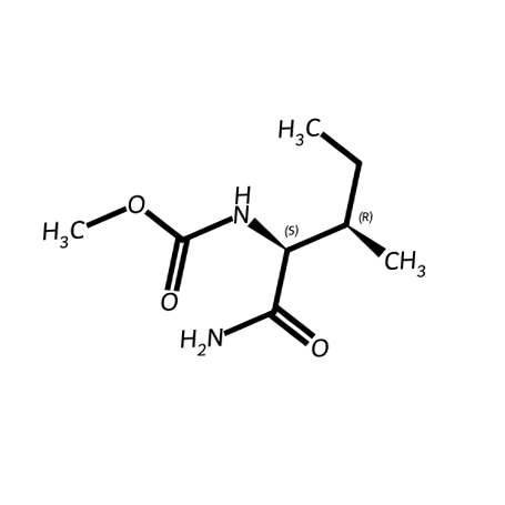 CC[C@@H](C)[C@H](NC(=O)OC)C(N)=O